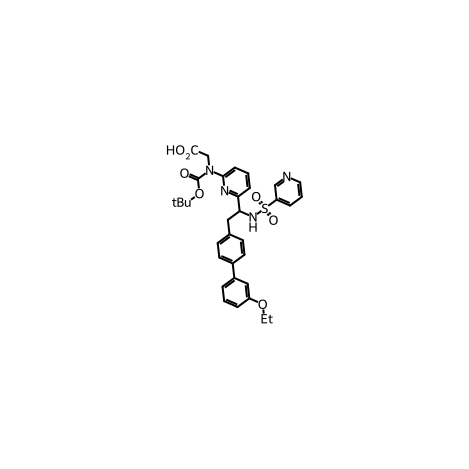 CCOc1cccc(-c2ccc(CC(NS(=O)(=O)c3cccnc3)c3cccc(N(CC(=O)O)C(=O)OC(C)(C)C)n3)cc2)c1